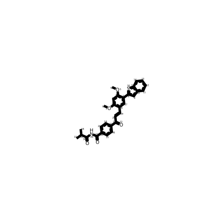 COc1cc(OC)c(-c2cc3ccccc3s2)cc1/C=C/C(=O)c1ccc(C(=O)NC(=O)C(C)C)cc1